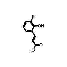 O=C(O)/C=C/c1cccc(Br)c1O